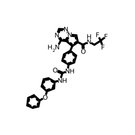 Nc1ncnn2cc(C(=O)NCC(F)(F)F)c(-c3ccc(NC(=O)Nc4cccc(Oc5ccccc5)c4)cc3)c12